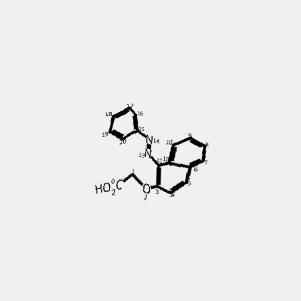 O=C(O)COc1ccc2ccccc2c1N=Nc1ccccc1